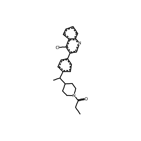 CCC(=O)N1CCC(C(C)c2ccc(-c3cnc4ccccc4c3Cl)cc2)CC1